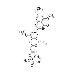 COc1cc(OC)c2c(=O)[nH]c(-c3cc(OC)c(OC(=O)CC(=O)OC(C)(C)C(=O)O)c(OC)c3)nc2c1